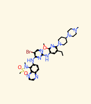 CCc1cc(Nc2ncc(Br)c(Nc3ccc4nccnc4c3N(C)S(C)(=O)=O)n2)c(OC)nc1N1CCC(N2CCN(C)CC2)CC1